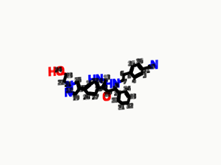 N#Cc1ccc(CCNC(C(=O)c2c[nH]c3cc(-c4cnn(CCO)c4)ccc23)c2ccccc2)cc1